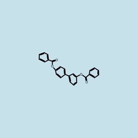 O=C(Oc1ccc(-c2cccc(OC(=O)c3ccccc3)c2)cc1)c1ccccc1